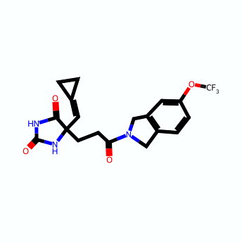 O=C1NC(=O)C(C=C2CC2)(CCC(=O)N2Cc3ccc(OC(F)(F)F)cc3C2)N1